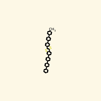 Cc1ccc(-c2ccc(-c3ccc4c(c3)sc3c5ccc(-c6ccc(-c7ccc(-c8ccccc8)cc7)cc6)cc5sc43)cc2)cc1